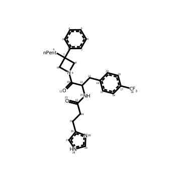 CCCCCC1(c2ccccc2)CN(C(=O)C(Cc2ccc(C(F)(F)F)cc2)NC(=O)CCc2c[nH]cn2)C1